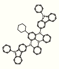 c1ccc(-n2c3ccccc3c3cc(N4c5ccccc5B5c6ccccc6N(c6ccc7c(c6)c6ccccc6n7-c6ccccc6)c6cc(C7CCCCC7)cc4c65)ccc32)cc1